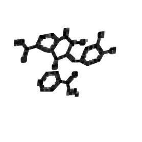 NC(=O)c1ccncc1.O=C(O)c1ccc2c(c1)C(=O)/C(=C/c1ccc(Cl)c(Cl)c1)[S+]([O-])N2